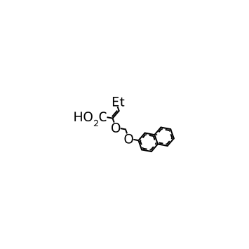 CCC=C(OCOc1ccc2ccccc2c1)C(=O)O